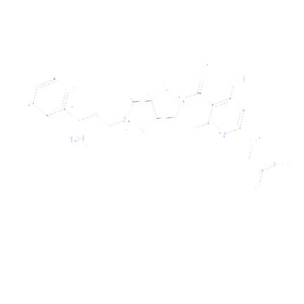 Cc1cc(OCC(C)O)nc(C)c1C(=O)N1CC2CN(CC[C@H](N)c3ccccc3)CC2C1